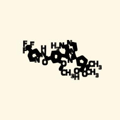 CCOc1cc(C(=O)Nc2cc(C(F)(F)F)ccn2)ccc1-c1nc([C@H]2CC[C@@](C(=O)O)(C(C)C)C2)n2ccnc(N)c12